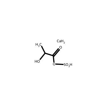 CC(O)C(=O)OS(=O)(=O)O.[CaH2]